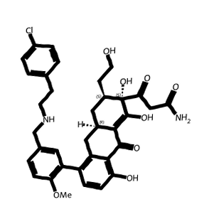 COc1ccc(CNCCc2ccc(Cl)cc2)cc1-c1ccc(O)c2c1C[C@H]1C[C@@H](CCO)[C@@](O)(C(=O)CC(N)=O)C(O)=C1C2=O